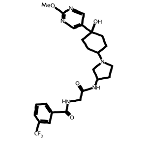 COc1ncc(C2(O)CCC(N3CCC(NC(=O)CNC(=O)c4cccc(C(F)(F)F)c4)C3)CC2)cn1